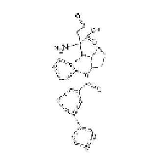 NC(CC=O)(C(=O)O)C1c2ccccc2N(C(=O)c2cccc(-c3ccnnc3)c2)C2CCCC21